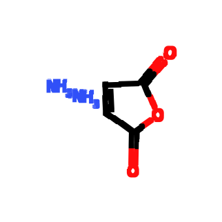 N.N.O=C1C=CC(=O)O1